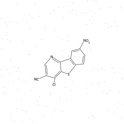 N#Cc1cnc2c(sc3ccc([N+](=O)[O-])cc32)c1Cl